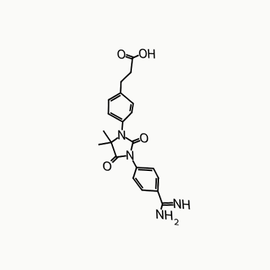 CC1(C)C(=O)N(c2ccc(C(=N)N)cc2)C(=O)N1c1ccc(CCC(=O)O)cc1